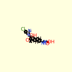 CC(C)C1=C2[C@H]3CC[C@@H]4[C@@]5(C)CC=C(c6cn(CC(=O)O)nn6)C(C)(C)[C@@H]5CC[C@@]4(C)[C@]3(C)CC[C@@]2([C@@H](O)CN(CCN(C)C)Cc2ccc(Cl)cc2)CC1=O